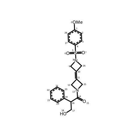 COc1ccc(S(=O)(=O)N2CC(=C3CN(C(=O)C(CO)c4ccccc4)C3)C2)cc1